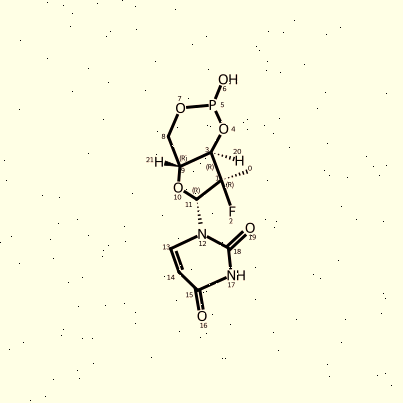 C[C@@]1(F)[C@@H]2OP(O)OC[C@H]2O[C@H]1n1ccc(=O)[nH]c1=O